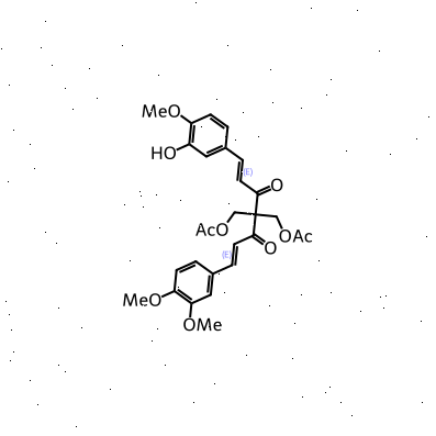 COc1ccc(/C=C/C(=O)C(COC(C)=O)(COC(C)=O)C(=O)/C=C/c2ccc(OC)c(OC)c2)cc1O